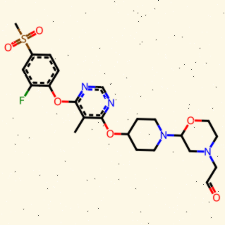 Cc1c(Oc2ccc(S(C)(=O)=O)cc2F)ncnc1OC1CCN(C2CN(CC=O)CCO2)CC1